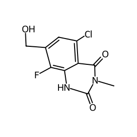 Cn1c(=O)[nH]c2c(F)c(CO)cc(Cl)c2c1=O